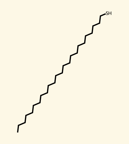 CCCCCCCCCCCCCCCCCCCCCCCCS